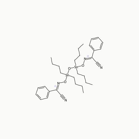 CCC[CH2][Sn]([CH2]CCC)([O]/N=C(\C#N)c1ccccc1)[O][Sn]([CH2]CCC)([CH2]CCC)[O]/N=C(\C#N)c1ccccc1